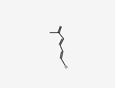 C=C(C)C=CC=C[O]